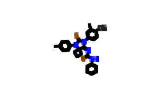 Cc1ccc(N2C(=S)N(c3ccc(C#N)c(C)c3)C(=NC(=S)Nc3ccccc3)C23CCC3)cc1